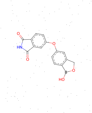 O=C1NC(=O)c2cc(Oc3ccc4c(c3)COB4O)ccc21